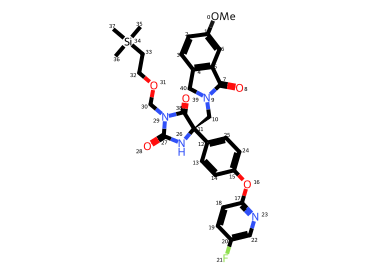 COc1ccc2c(c1)C(=O)N(C[C@@]1(c3ccc(Oc4ccc(F)cn4)cc3)NC(=O)N(COCC[Si](C)(C)C)C1=O)C2